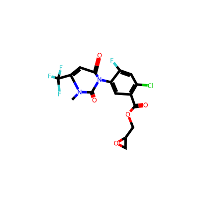 Cn1c(C(F)(F)F)cc(=O)n(-c2cc(C(=O)OCC3CO3)c(Cl)cc2F)c1=O